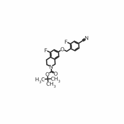 CC(C)(C)OC(=O)N1CCc2c(F)cc(OCc3ccc(C#N)cc3F)cc2C1